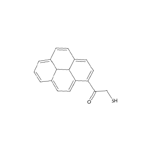 O=C(CS)C1=CC=C2C=CC3=CC=CC4=CC=C1C2C34